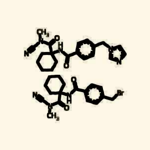 CN(C#N)C(=O)C1(NC(=O)c2ccc(CBr)cc2)CCCCC1.CN(C#N)C(=O)C1(NC(=O)c2ccc(Cn3ccnc3)cc2)CCCCC1